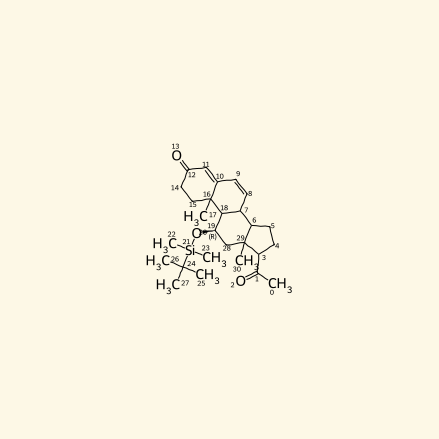 CC(=O)C1CCC2C3C=CC4=CC(=O)CCC4(C)C3[C@H](O[Si](C)(C)C(C)(C)C)CC12C